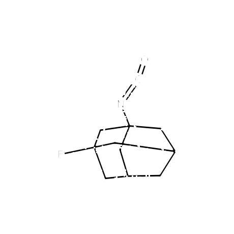 O=C=NC12CC3CC(CC(F)(C3)C1)C2